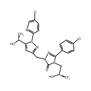 C[C@H](O)c1nc(Cn2nc(-c3ccc(Cl)cc3)n(C[C@H](O)C(F)(F)F)c2=O)nn1-c1ccc(Cl)cn1